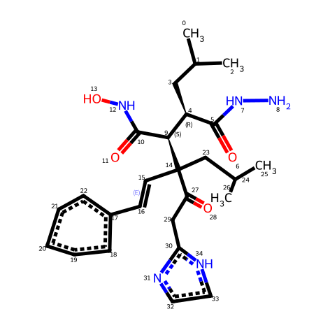 CC(C)C[C@@H](C(=O)NN)[C@H](C(=O)NO)C(/C=C/c1ccccc1)(CC(C)C)C(=O)Cc1ncc[nH]1